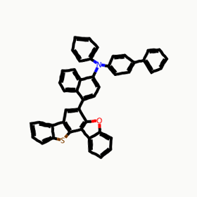 c1ccc(-c2ccc(N(c3ccccc3)c3ccc(-c4cc5c6ccccc6sc5c5c4oc4ccccc45)c4ccccc34)cc2)cc1